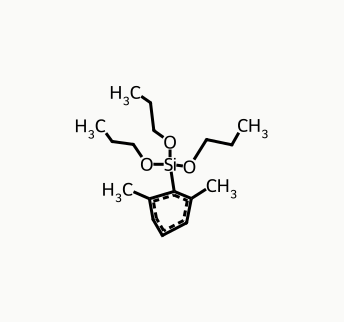 CCCO[Si](OCCC)(OCCC)c1c(C)cccc1C